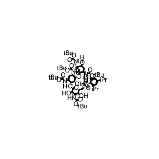 CC(C)c1cc(C(C)C)c(S(=O)(=O)OCC2O[C@H](O[C@@H]3C(O)C(O[C@H]4O[C@H](CNC(=O)OC(C)(C)C)C(O)C[C@H]4NC(=O)OC(C)(C)C)[C@@H](NC(=O)OC(C)(C)C)C[C@H]3NC(=O)OC(C)(C)C)C(O)[C@@H](NC(=O)OC(C)(C)C)[C@@H]2O)c(C(C)C)c1